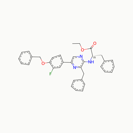 CCOC(=O)[C@H](Cc1ccccc1)Nc1ncc(-c2ccc(OCc3ccccc3)c(F)c2)nc1Cc1ccccc1